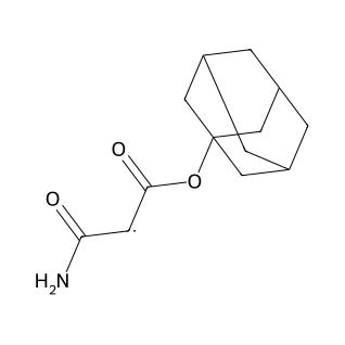 NC(=O)[CH]C(=O)OC12CC3CC(CC(C3)C1)C2